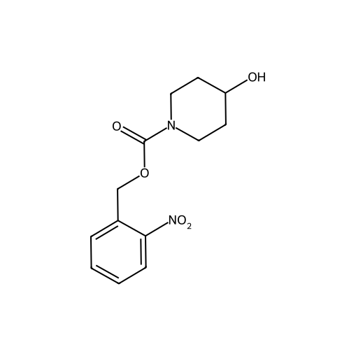 O=C(OCc1ccccc1[N+](=O)[O-])N1CCC(O)CC1